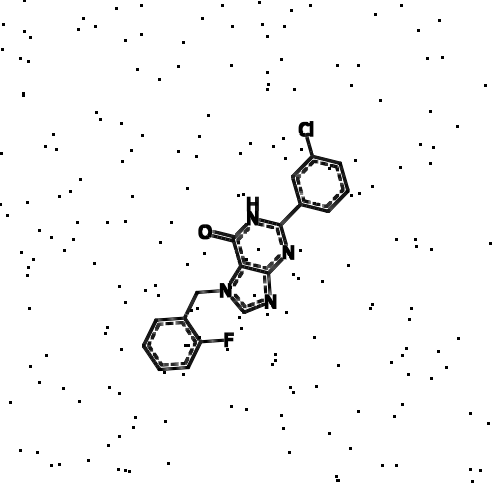 O=c1[nH]c(-c2cccc(Cl)c2)nc2ncn(Cc3ccccc3F)c12